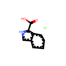 F.O=C(O)c1[nH]cc2ccccc12